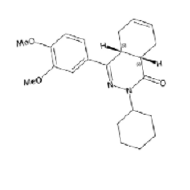 COc1ccc(C2=NN(C3CCCCC3)C(=O)[C@H]3CC=CC[C@@H]23)cc1OC